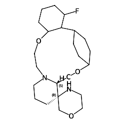 FC1CCCC2OCCN3CCC[C@]4(COCCN4)[C@H]3COC3CCC(CC3)C12